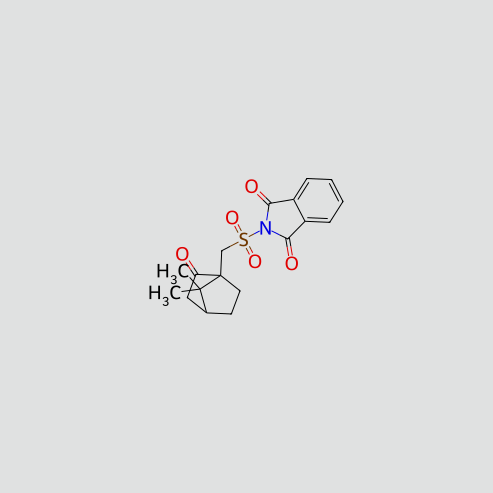 CC1(C)C2CCC1(CS(=O)(=O)N1C(=O)c3ccccc3C1=O)C(=O)C2